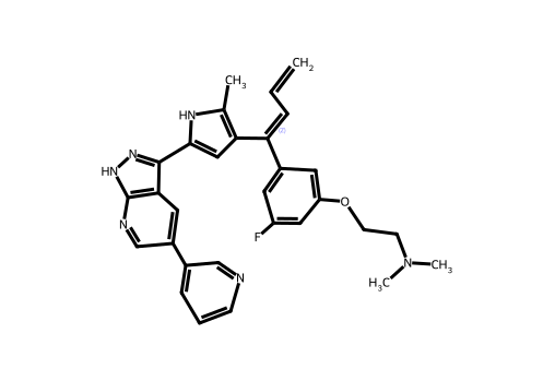 C=C/C=C(/c1cc(F)cc(OCCN(C)C)c1)c1cc(-c2n[nH]c3ncc(-c4cccnc4)cc23)[nH]c1C